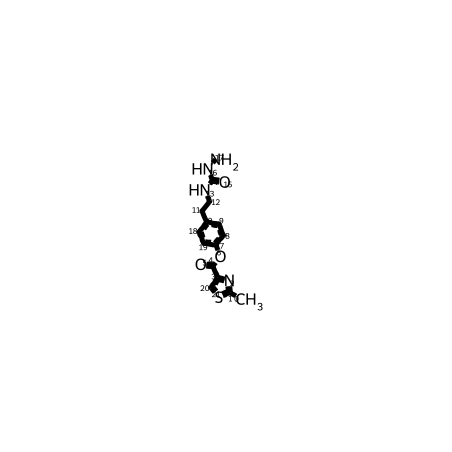 Cc1nc(C(=O)Oc2ccc(CCNC(=O)NN)cc2)cs1